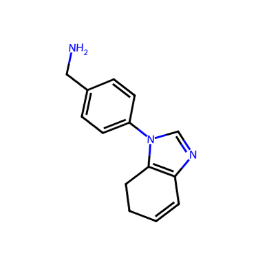 NCc1ccc(-n2cnc3c2CCC=C3)cc1